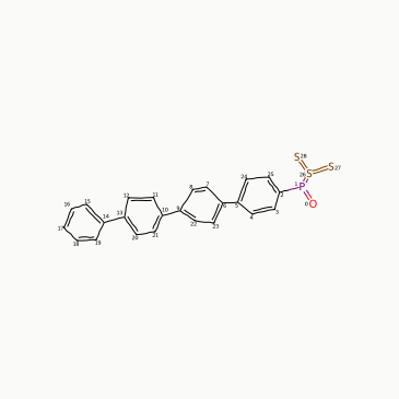 O=P(c1ccc(-c2ccc(-c3ccc(-c4ccccc4)cc3)cc2)cc1)=S(=S)=S